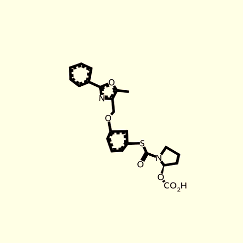 Cc1oc(-c2ccccc2)nc1COc1cccc(SC(=O)N2CCC[C@H]2OC(=O)O)c1